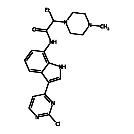 CCC(C(=O)Nc1cccc2c(-c3ccnc(Cl)n3)c[nH]c12)N1CCN(C)CC1